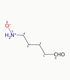 O=CCCCC[NH2+][O-]